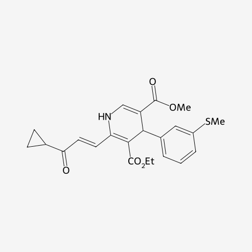 CCOC(=O)C1=C(C=CC(=O)C2CC2)NC=C(C(=O)OC)C1c1cccc(SC)c1